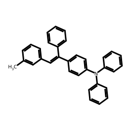 Cc1cccc(/C=C(\c2ccccc2)c2ccc(N(c3ccccc3)c3ccccc3)cc2)c1